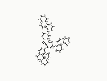 C1=CC2Oc3c(-c4ccc5ccc6cccc7ccc4c5c67)cc(-c4cccc5c4ccc4ccccc45)cc3C2C=C1c1cccc2c1ccc1ccccc12